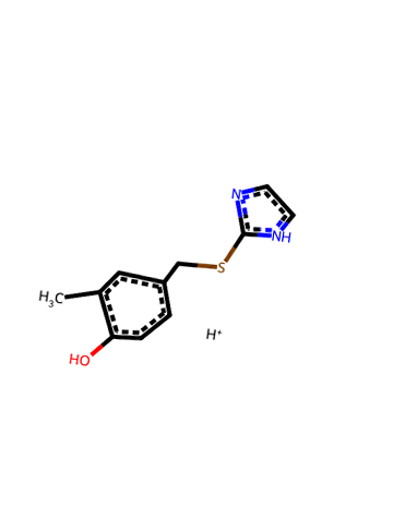 Cc1cc(CSc2ncc[nH]2)ccc1O.[H+]